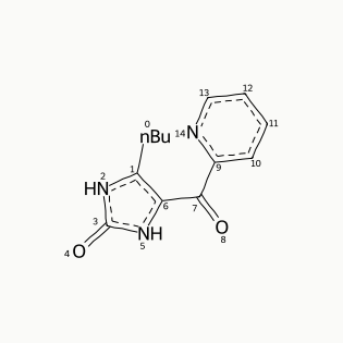 CCCCc1[nH]c(=O)[nH]c1C(=O)c1ccccn1